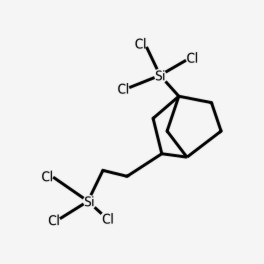 Cl[Si](Cl)(Cl)CCC1CC2([Si](Cl)(Cl)Cl)CCC1C2